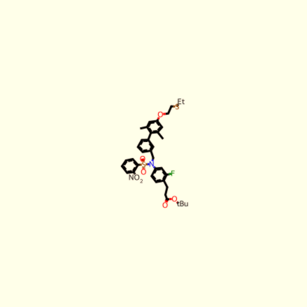 CCSCCOc1cc(C)c(-c2cccc(CN(c3ccc(CCC(=O)OC(C)(C)C)c(F)c3)S(=O)(=O)c3ccccc3[N+](=O)[O-])c2)c(C)c1